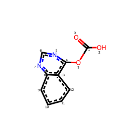 O=C(O)Oc1ncnc2ccccc12